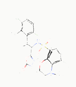 Cc1c(Cl)ccc(F)c1C(C)C(NS(=O)(=O)c1ccc(Cl)c2c1OCCN2C)c1n[nH]c(=O)o1